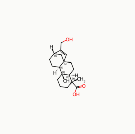 C[C@]12CCC[C@@](C)(C(=O)O)[C@@H]1CC[C@@]13C=C(CO)[C@@H](CC[C@@H]12)C3